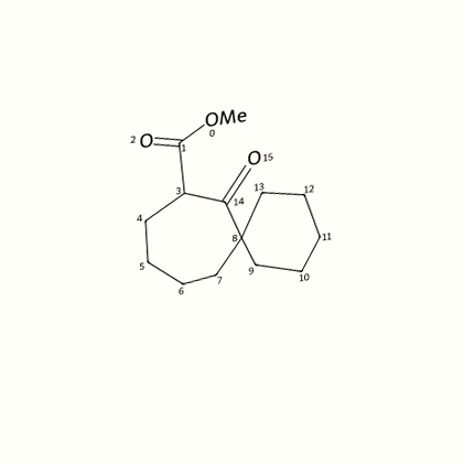 COC(=O)C1CCCCC2(CCCCC2)C1=O